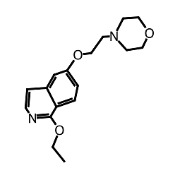 CCOc1nccc2cc(OCCN3CCOCC3)ccc12